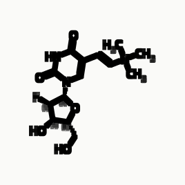 C[Si](C)(C)C=Cc1cn([C@@H]2O[C@H](CO)[C@@H](O)[C@H]2F)c(=O)[nH]c1=O